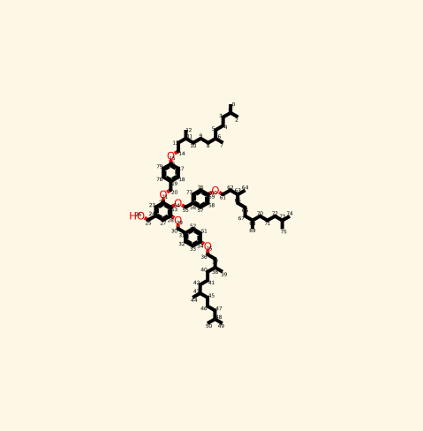 CC(C)CCCC(C)CCCC(C)CCOc1ccc(COc2cc(CO)cc(OCc3ccc(OCCC(C)CCCC(C)CCCC(C)C)cc3)c2OCc2ccc(OCCC(C)CCCC(C)CCCC(C)C)cc2)cc1